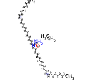 C=C.CCCCCCCC/C=C\CCCCCCCCCCCCN(CCCCCCCCCCCC/C=C\CCCCCCCC)C(N)=O